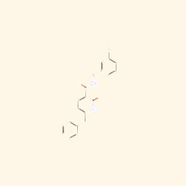 Cc1cc(C(NC(=O)c2ccc(Cc3ccccc3)[nH]c2=O)C(=O)O)cc([N+](=O)[O-])c1